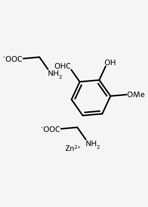 COc1cccc(C=O)c1O.NCC(=O)[O-].NCC(=O)[O-].[Zn+2]